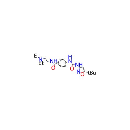 CCN(CC)CCNC(=O)c1ccc(NC(=O)Nc2cc(C(C)(C)C)on2)cc1